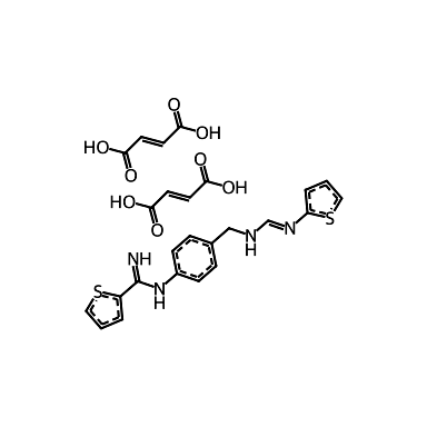 N=C(Nc1ccc(CN/C=N/c2cccs2)cc1)c1cccs1.O=C(O)/C=C/C(=O)O.O=C(O)/C=C/C(=O)O